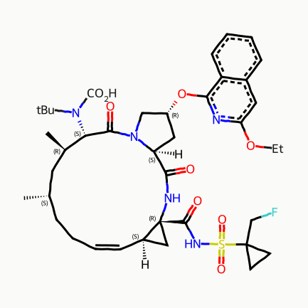 CCOc1cc2ccccc2c(O[C@@H]2C[C@H]3C(=O)N[C@]4(C(=O)NS(=O)(=O)C5(CF)CC5)C[C@H]4C=CCC[C@H](C)C[C@@H](C)[C@H](N(C(=O)O)C(C)(C)C)C(=O)N3C2)n1